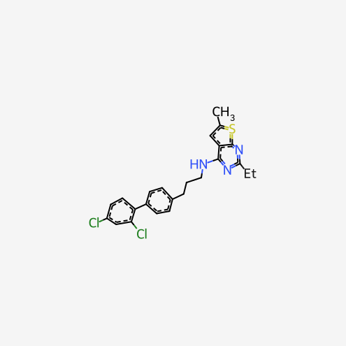 CCc1nc(NCCCc2ccc(-c3ccc(Cl)cc3Cl)cc2)c2cc(C)sc2n1